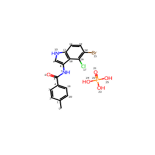 Cc1ccc(C(=O)Nc2c[nH]c3ccc(Br)c(Cl)c23)cc1.O=P(O)(O)O